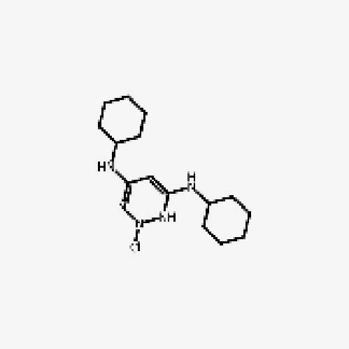 ClN1N=C(NC2CCCCC2)C=C(NC2CCCCC2)N1